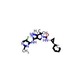 Cc1ncc(F)c(Nc2n[nH]c3c2CN(C(=O)N[C@@H]2C[C@H]2c2ccccc2)C3(C)C)n1